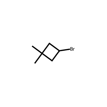 CC1(C)C[C](Br)C1